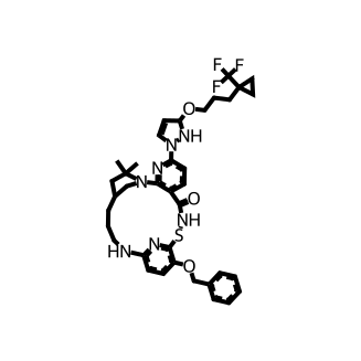 CC1(C)CC2CCCNc3ccc(OCc4ccccc4)c(n3)SNC(=O)c3ccc(N4C=CC(OCCCC5(C(F)(F)F)CC5)N4)nc3N1C2